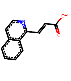 O=C(O)C=Cc1nccc2ccccc12